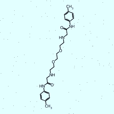 Cc1ccc(NC(=O)CNCCOCCOCCNCC(=O)Nc2ccc(C)cc2)cc1